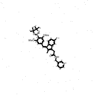 COc1cc(/C=C2/C(C)=C(CC(=O)NCc3cccnc3)c3cc(F)ccc32)cc(OC)c1B1OC(C)(C)C(C)(C)O1